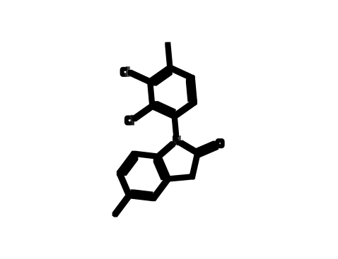 Cc1ccc2c(c1)CC(=O)N2c1ccc(C)c(Cl)c1Cl